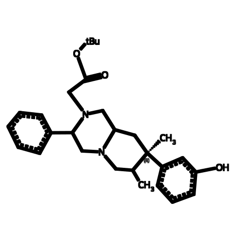 CC1CN2CC(c3ccccc3)N(CC(=O)OC(C)(C)C)CC2C[C@@]1(C)c1cccc(O)c1